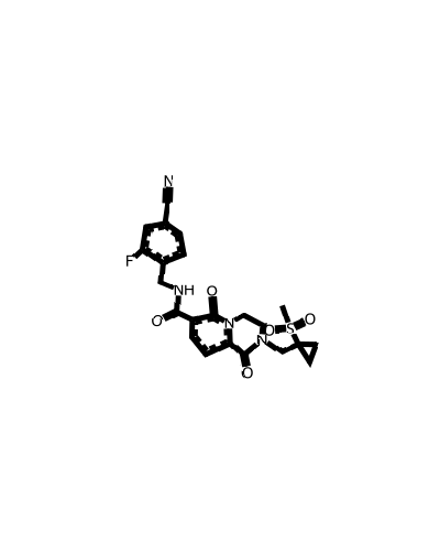 CS(=O)(=O)C1(CN2CCn3c(ccc(C(=O)NCc4ccc(C#N)cc4F)c3=O)C2=O)CC1